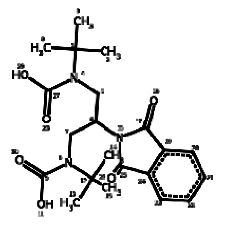 CC(C)(C)N(CC(CN(C(=O)O)C(C)(C)C)N1C(=O)c2ccccc2C1=O)C(=O)O